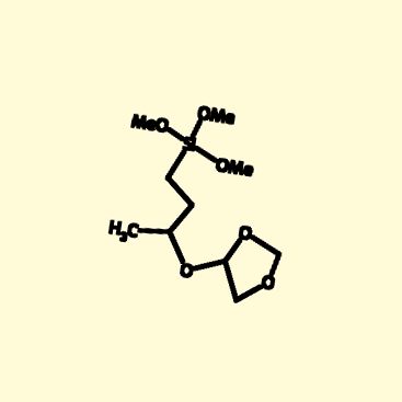 CO[Si](CCC(C)OC1COCO1)(OC)OC